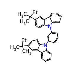 CCC(C)(C)c1ccc2c(c1)c1ccccc1n2-c1cccc(-n2c3ccccc3c3cc(C(C)(C)CC)ccc32)c1